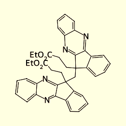 CCOC(=O)CCC1(CC2(CCC(=O)OCC)c3ccccc3-c3nc4ccccc4nc32)c2ccccc2-c2nc3ccccc3nc21